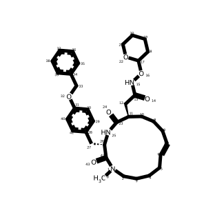 CN1CCCC/C=C/CCC[C@H](CC(=O)NOC2CCCCO2)C(=O)N[C@@H](Cc2ccc(OCc3ccccc3)cc2)C1=O